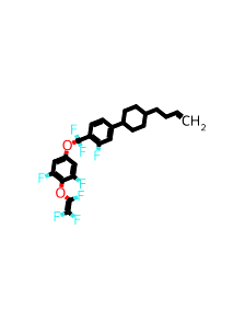 C=CCCC1CCC(c2ccc(C(F)(F)Oc3cc(F)c(OC(F)=C(F)F)c(F)c3)c(F)c2)CC1